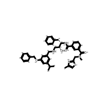 Cc1csc(CN(C)C(=O)c2cccc(C(=O)N[C@@H](Cc3ccccc3)[C@H](O)CNCc3cc(OCc4ccccc4)cc(C(C)C)c3)c2)n1